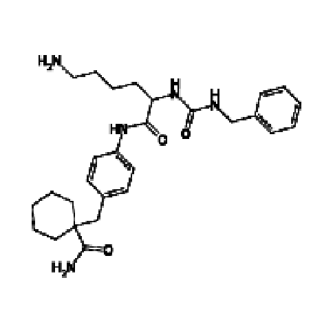 NCCCCC(NC(=O)NCc1ccccc1)C(=O)Nc1ccc(CC2(C(N)=O)CCCCC2)cc1